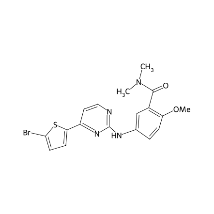 COc1ccc(Nc2nccc(-c3ccc(Br)s3)n2)cc1C(=O)N(C)C